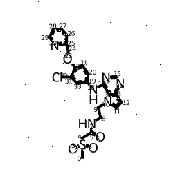 CS(=O)(=O)CC(=O)NCCn1ccc2ncnc(Nc3ccc(OCc4ccccn4)c(Cl)c3)c21